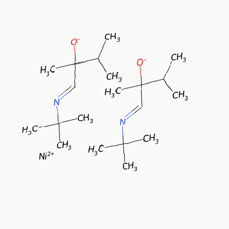 CC(C)C(C)([O-])C=NC(C)(C)C.CC(C)C(C)([O-])C=NC(C)(C)C.[Ni+2]